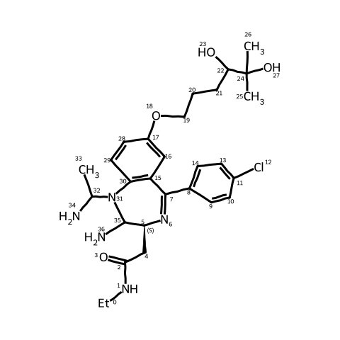 CCNC(=O)C[C@@H]1N=C(c2ccc(Cl)cc2)c2cc(OCCCC(O)C(C)(C)O)ccc2N(C(C)N)C1N